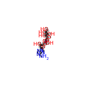 Nc1ncnc2c1ncn2[C@H]1CC(O)[C@@H](COP(=O)(O)OCC(=O)[C@@H](O)[C@H](O)[C@H](O)CO)O1